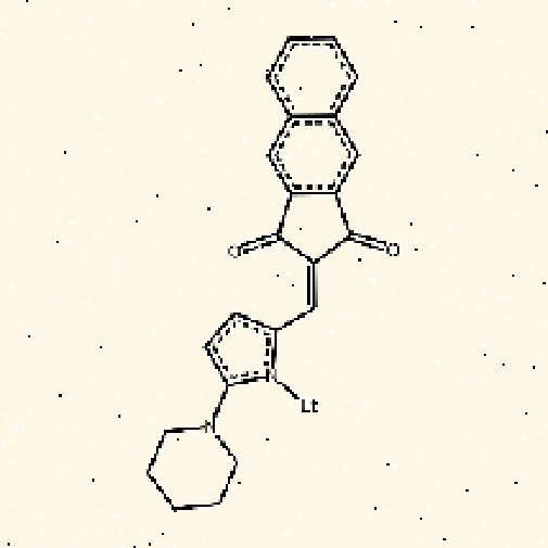 CCn1c(C=C2C(=O)c3cc4ccccc4cc3C2=O)ccc1N1CCCCC1